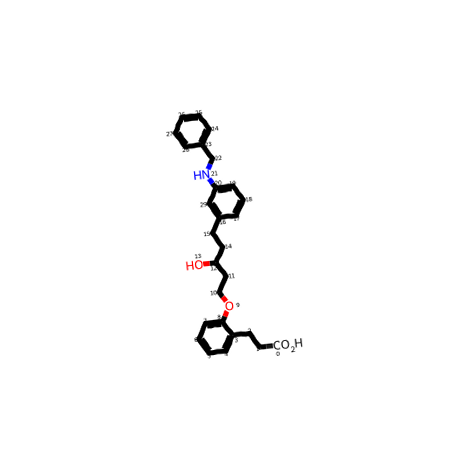 O=C(O)CCc1ccccc1OCCC(O)CCc1cccc(NCc2ccccc2)c1